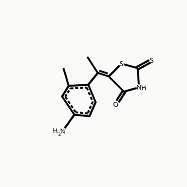 CC(=C1SC(=S)NC1=O)c1ccc(N)cc1C